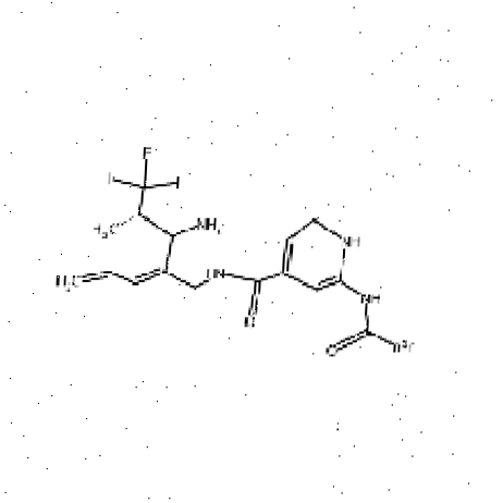 C=C/C=C(/CNC(=O)C1=CCNC(NC(=O)CCC)=C1)C(N)[C@H](C)C(F)(I)I